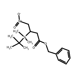 CC(C)(C)[Si](C)(C)C(CC(=O)OCc1ccccc1)C[N+](=O)[O-]